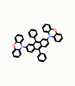 c1ccc(-c2c3ccc(N4c5ccccc5Oc5ccccc54)cc3c(-c3ccccc3)c3cc(N4c5ccccc5Oc5ccccc54)ccc23)cc1